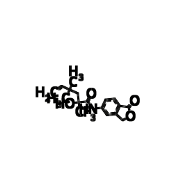 C=CC(C)(C)CC(O)(C(=O)Nc1ccc2c(c1)COC2=O)C(F)(F)F